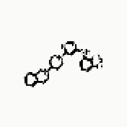 c1ccc2c(c1)CCN(C1CCN(c3cc(Nc4cccc5c4OCO5)ncn3)CC1)C2